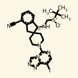 CC(C)(C)[S+]([O-])CN[C@@H]1c2cccc(C#N)c2CC12CCN(c1ncc(I)c3nncn13)CC2